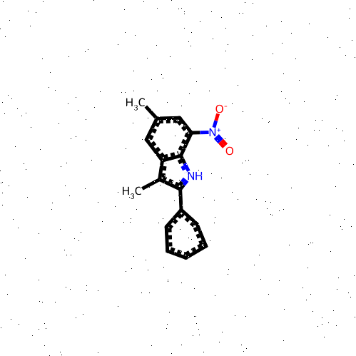 Cc1cc([N+](=O)[O-])c2[nH]c(-c3ccccc3)c(C)c2c1